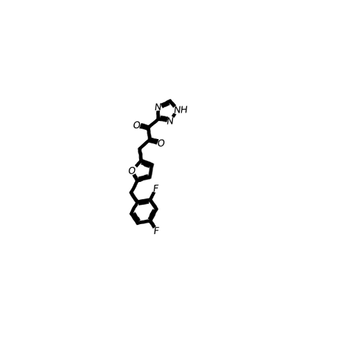 O=C(Cc1ccc(Cc2ccc(F)cc2F)o1)C(=O)c1nc[nH]n1